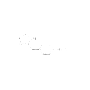 Nc1ccc(CC2=NCCN2)cc1